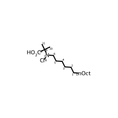 CCCCCCCCCCCCCCN(Cl)C(C)(C)C(=O)O